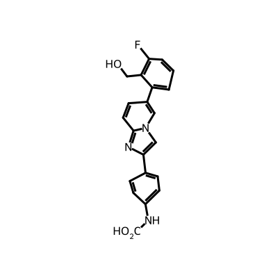 O=C(O)Nc1ccc(-c2cn3cc(-c4cccc(F)c4CO)ccc3n2)cc1